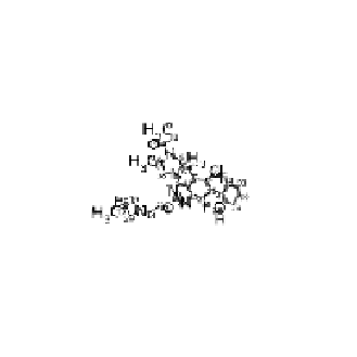 C=CC(=O)N1C[C@H](C)N(c2nc(OCCN3CC(C)(F)C3)nc3c(F)c(-c4c(O)cccc4F)c(Cl)cc23)C[C@H]1C